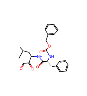 CC(C)CC(NC(=O)[C@@H](Cc1ccccc1)NC(=O)OCc1ccccc1)C(=O)C=O